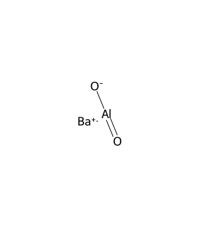 [Ba+].[O]=[Al][O-]